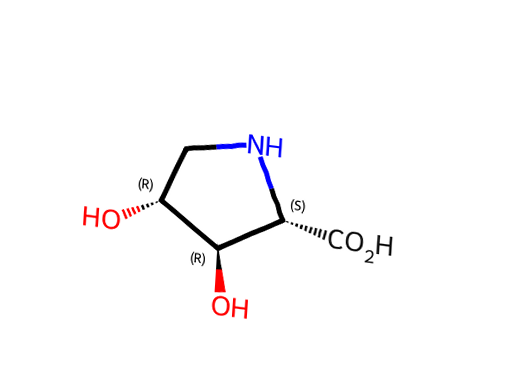 O=C(O)[C@H]1NC[C@@H](O)[C@@H]1O